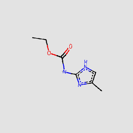 CCOC(=O)[N]c1nc(C)c[nH]1